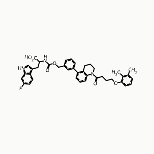 Cc1cccc(OCCCC(=O)N2CCCc3c(-c4cccc(COC(=O)NC(Cc5c[nH]c6cc(F)ccc56)C(=O)O)c4)cccc32)c1C